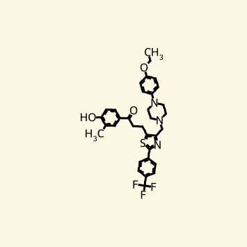 CCOc1ccc(N2CCN(Cc3nc(-c4ccc(C(F)(F)F)cc4)sc3CCC(=O)c3ccc(O)c(C)c3)CC2)cc1